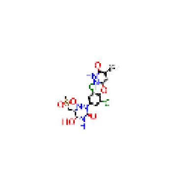 CC(C)c1cc(Oc2c(Cl)cc(N3N=C(CS(C)(=O)=O)C(O)NC3=O)cc2Cl)n[nH]c1=O